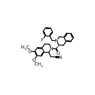 COc1cc2c(cc1OC)C(CC#N)N(C(=O)[C@@H]1Cc3ccccc3CN1Cc1ccccc1F)CC2